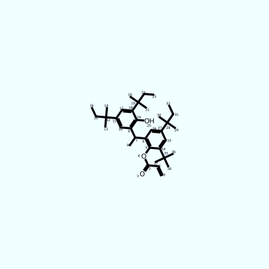 C=CC(=O)Oc1c(C(C)c2cc(C(C)(C)CC)cc(C(C)(C)CC)c2O)cc(C(C)(C)CC)cc1C(C)(C)C